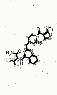 Cc1noc(C)c1C(=O)N1CCN(Cc2nc(N[C@H](C(N)=O)C(C)C)c3ccccc3n2)CC1